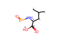 CC(C)CC(NP=O)C(=O)O